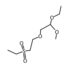 CCOC(COCCS(=O)(=O)CC)OC